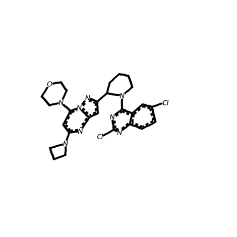 Clc1ccc2nc(Cl)nc(N3CCCCC3c3cc4nc(N5CCC5)cc(N5CCOCC5)n4n3)c2c1